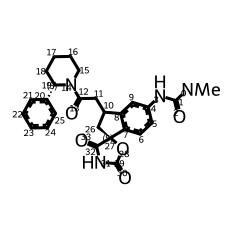 CNC(=O)Nc1ccc2c(c1)C(CC(=O)N1CCCC[C@H]1c1ccccc1)C[C@]21OC(=O)NC1=O